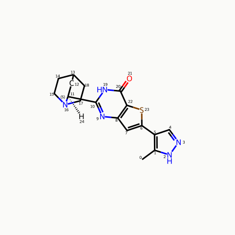 Cc1[nH]ncc1-c1cc2nc([C@@H]3CC4CCN3CC4)[nH]c(=O)c2s1